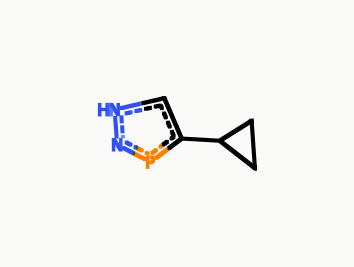 c1[nH]npc1C1CC1